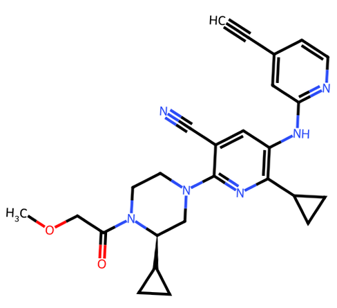 C#Cc1ccnc(Nc2cc(C#N)c(N3CCN(C(=O)COC)[C@H](C4CC4)C3)nc2C2CC2)c1